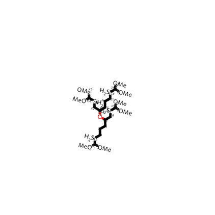 COC(OC)[SiH2]CCCC(C[SiH2]C(OC)OC)OC(CCC[SiH2]C(OC)OC)C[SiH2]C(OC)OC